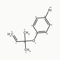 C=CC(C)(C)Oc1ccc(C(C)=O)cc1